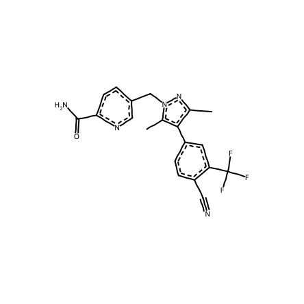 Cc1nn(Cc2ccc(C(N)=O)nc2)c(C)c1-c1ccc(C#N)c(C(F)(F)F)c1